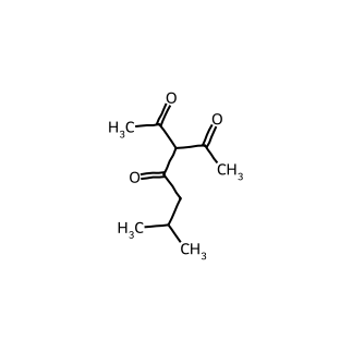 CC(=O)C(C(C)=O)C(=O)CC(C)C